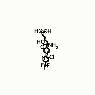 NC(CCCCB(O)O)(C(=O)O)C1CCN(c2ncc(C(F)(F)F)cc2Cl)CC1